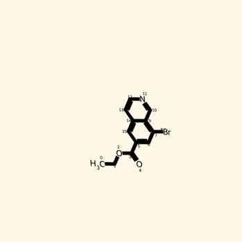 CCOC(=O)c1cc(Br)c2cnccc2c1